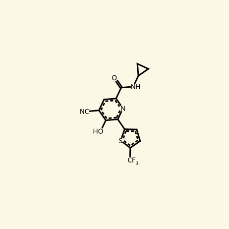 N#Cc1cc(C(=O)NC2CC2)nc(-c2ccc(C(F)(F)F)s2)c1O